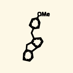 COc1ccc(Cc2cccc3c2Cc2ccccc2-3)cc1